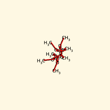 CCCCCCCCCCCCOc1ccc(COc2cc(COc3cc(CC(=O)CC)cc(OCc4cc(OCc5ccc(C)cc5)c(OCc5ccc(OCCCCCCCCCCCC)cc5)c(OCc5ccc(OCCCCCCCCCCCC)cc5)c4)c3)cc(OCc3ccc(C)cc3)c2OCc2ccc(OCCCCCCCCCCCC)cc2)cc1